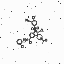 COc1ccc(S(=O)(=O)N2c3ccc(C(=O)NCc4ccccc4Cl)cc3C3(CCN(C(C)=O)CC3)C2C2CC2)cc1C#N